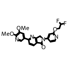 COc1cc(-c2ccc3c(n2)CN(c2ccnc(OCC(F)F)c2)C3=O)cnc1OC